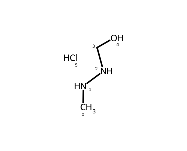 CNNCO.Cl